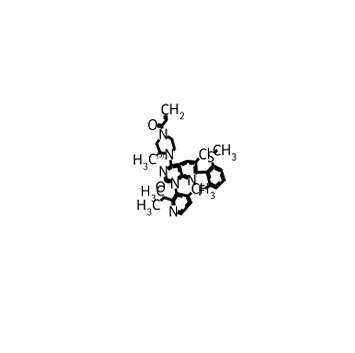 C=CC(=O)N1CCN(c2nc(=O)n(-c3c(C)ccnc3C(C)C)c3nc(-c4c(F)cccc4SC)c(Cl)cc23)[C@@H](C)C1